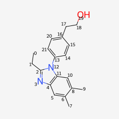 CCc1nc2cc(C)c(C)cc2n1-c1ccc(CCO)cc1